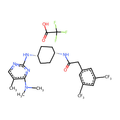 Cc1cnc(N[C@H]2CC[C@@H](NC(=O)Cc3cc(C(F)(F)F)cc(C(F)(F)F)c3)CC2)nc1N(C)C.O=C(O)C(F)(F)F